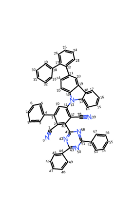 N#Cc1c(-c2ccccc2)cc(-n2c3ccccc3c3cc(-c4ccccc4-c4ccccc4)ccc32)c(C#N)c1-c1nc(-c2ccccc2)nc(-c2ccccc2)n1